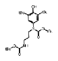 CC(C)(C)OC(=O)NCCCN(C(=O)OC(C)(C)C)c1cc(C(C)(C)C)c(O)c(C(C)(C)C)c1